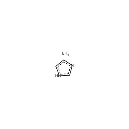 B.c1c[nH]cn1